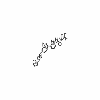 O=C(NCC(F)(F)F)Nc1cccc(-c2cnc3cc(/C=N/OCc4ccco4)ccn23)c1